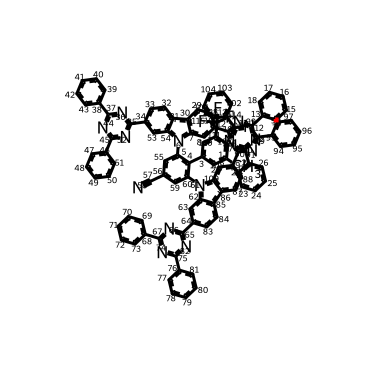 Cc1cc(-c2c(-n3c4cc(-c5nc(-c6ccccc6)nc(-c6ccccc6)n5)ccc4c4ccc(-c5nc(-c6ccccc6)nc(-c6ccccc6)n5)cc43)cc(C#N)cc2-n2c3cc(-c4nc(-c5ccccc5)nc(-c5ccccc5)n4)ccc3c3ccc(-c4nc(-c5ccccc5)nc(-c5ccccc5)n4)cc32)cc(C(F)(F)F)c1